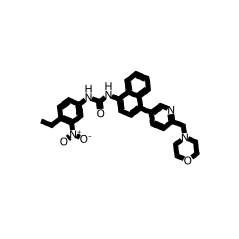 CCc1ccc(NC(=O)Nc2ccc(-c3ccc(CN4CCOCC4)nc3)c3ccccc23)cc1[N+](=O)[O-]